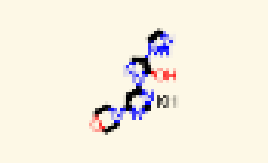 Oc1c(-n2ccnn2)cnn1-c1cc(N2CCOCC2)ncn1.[KH]